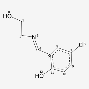 OCC/N=C/c1cc(Cl)ccc1O